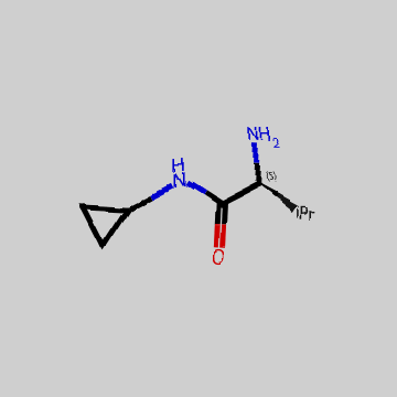 CC(C)[C@H](N)C(=O)NC1CC1